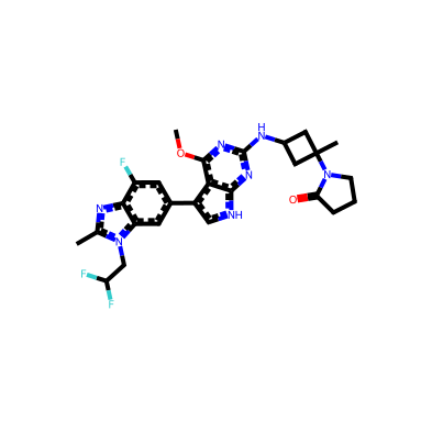 COc1nc(NC2CC(C)(N3CCCC3=O)C2)nc2[nH]cc(-c3cc(F)c4nc(C)n(CC(F)F)c4c3)c12